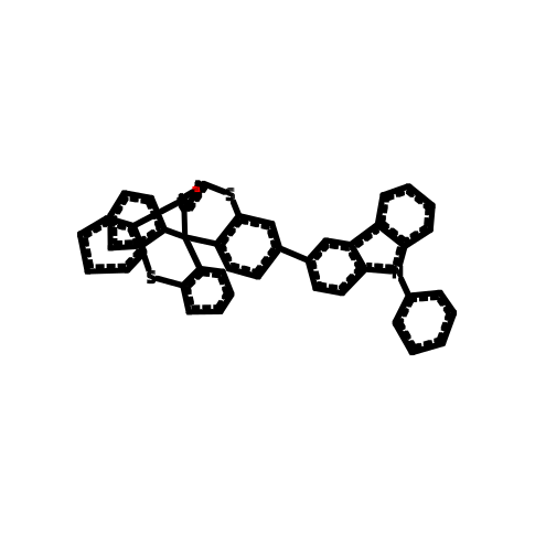 c1ccc(-c2cccc3c2C2(c4ccccc4Sc4ccccc42)c2ccc(-c4ccc5c(c4)c4ccccc4n5-c4ccccc4)cc2S3)cc1